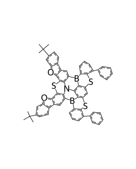 CC(C)(C)c1ccc2c(c1)oc1c3c4c(cc12)B1c2cccc(-c5ccccc5)c2Sc2cc5c6c(c21)N4c1c(cc2c(oc4cc(C(C)(C)C)ccc42)c1S3)B6c1cccc(-c2ccccc2)c1S5